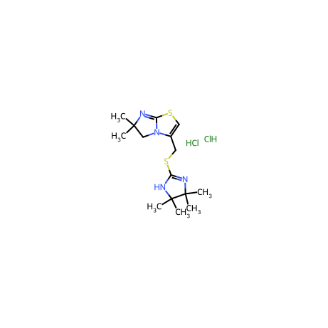 CC1(C)CN2C(CSC3=NC(C)(C)C(C)(C)N3)=CSC2=N1.Cl.Cl